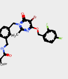 COCC(=O)NCc1cccc(Cn2c(C)nc(OCc3ccc(F)cc3F)c(Br)c2=O)c1